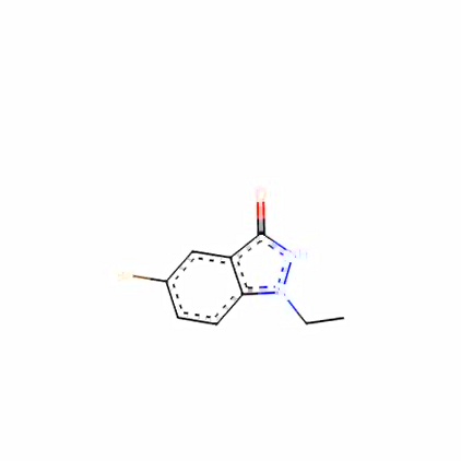 CCn1[nH]c(=O)c2cc(Br)ccc21